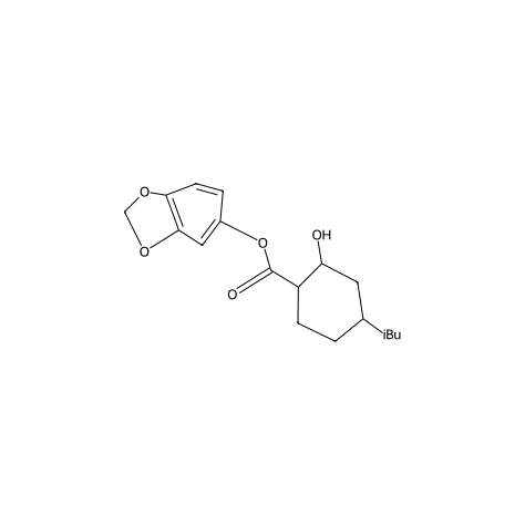 CCC(C)C1CCC(C(=O)Oc2ccc3c(c2)OCO3)C(O)C1